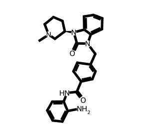 CN1CCC[C@@H](n2c(=O)n(Cc3ccc(C(=O)Nc4ccccc4N)cc3)c3ccccc32)C1